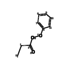 [CH2]CC(=O)OOc1ccccc1